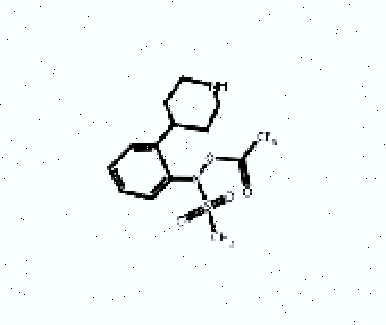 CS(=O)(=O)N(OC(=O)C(F)(F)F)c1ccccc1C1CCNCC1